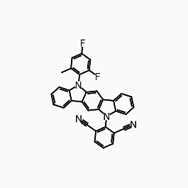 Cc1cc(F)cc(F)c1-n1c2ccccc2c2cc3c(cc21)c1ccccc1n3-c1c(C#N)cccc1C#N